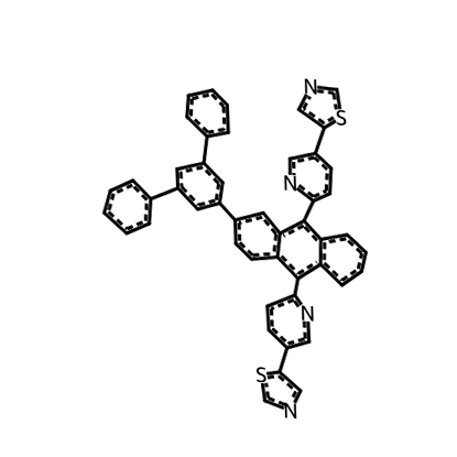 c1ccc(-c2cc(-c3ccccc3)cc(-c3ccc4c(-c5ccc(-c6cncs6)cn5)c5ccccc5c(-c5ccc(-c6cncs6)cn5)c4c3)c2)cc1